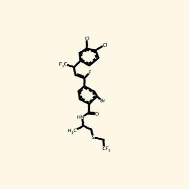 CC(CSCC(F)(F)F)NC(=O)c1ccc(/C(F)=C/C(c2ccc(Cl)c(Cl)c2)C(F)(F)F)cc1Br